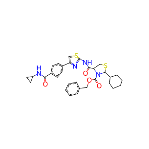 O=C(NC1CC1)c1ccc(-c2csc(NC(=O)C3CSC(C4CCCCC4)N3C(=O)OCc3ccccc3)n2)cc1